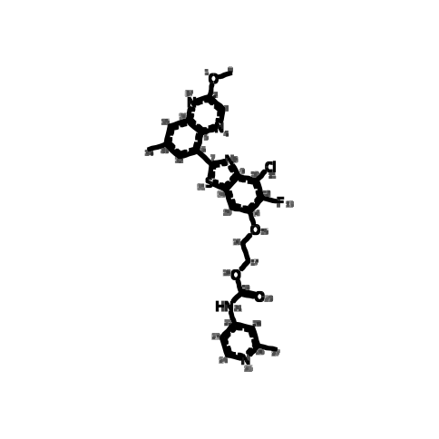 COc1cnc2c(-c3nc4c(Cl)c(F)c(OCCOC(=O)Nc5ccnc(C)c5)cc4s3)cc(C)cc2n1